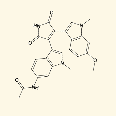 COc1ccc2c(C3=C(c4cn(C)c5cc(NC(C)=O)ccc45)C(=O)NC3=O)cn(C)c2c1